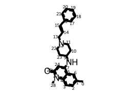 Cc1ccc2c(c1)c(NC1CCN(CC=Cc3ccccc3)CC1)cc(=O)n2C